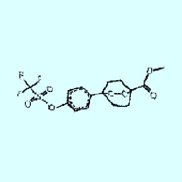 COC(=O)C12CCC(c3ccc(OS(=O)(=O)C(F)(F)F)cc3)(CC1)CC2